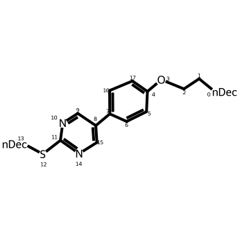 CCCCCCCCCCCCOc1ccc(-c2cnc(SCCCCCCCCCC)nc2)cc1